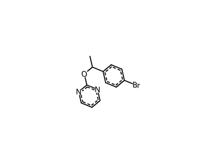 CC(Oc1ncccn1)c1ccc(Br)cc1